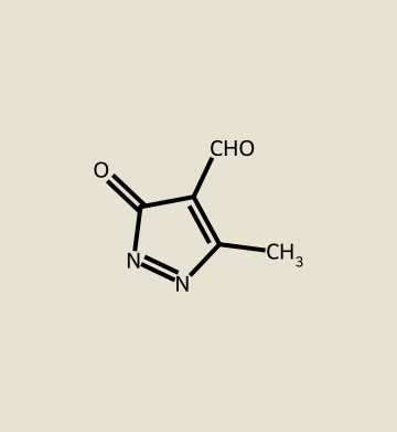 CC1=C(C=O)C(=O)N=N1